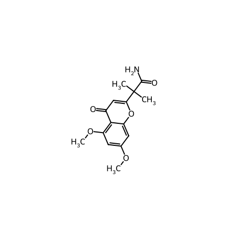 COc1cc(OC)c2c(=O)cc(C(C)(C)C(N)=O)oc2c1